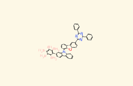 Bc1c(B)c(B)c(-c2ccc3c4ccccc4n(-c4cccc5c4oc4ccc(-c6nc(-c7ccccc7)nc(-c7ccccc7)n6)cc45)c3c2)c(B)c1B